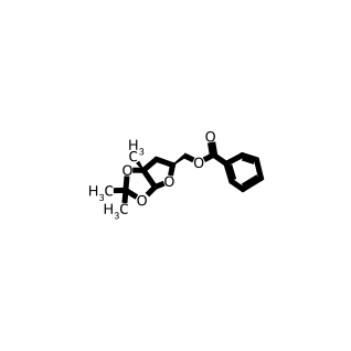 CC1(C)OC2O[C@H](COC(=O)c3ccccc3)C[C@@]2(C)O1